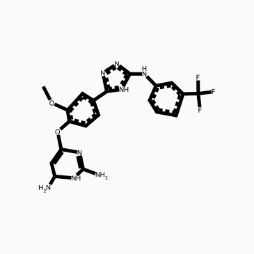 COc1cc(-c2nnc(Nc3cccc(C(F)(F)F)c3)[nH]2)ccc1OC1=CC(N)NC(N)=N1